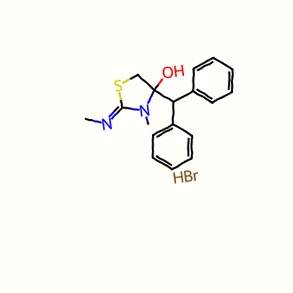 Br.CN=C1SCC(O)(C(c2ccccc2)c2ccccc2)N1C